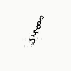 CC[C@H]1OC(O)[C@H](NC(=O)/C(C#N)=C/c2ccc(-c3ccc4cc(N5CCCCC5)ccc4c3)n2C)[C@@H](O)[C@@H]1O